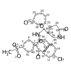 CS(=O)(=O)c1ccc(Oc2ccc(Cl)cc2[C@H]2NC(=O)C[C@@H](c3cccc(Cl)c3)[C@]23C(=O)Nc2cc(Cl)ccc23)cc1